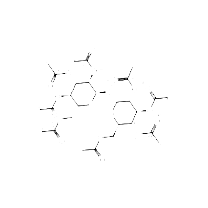 CC(=O)OC[C@H]1O[C@H](O[C@H]2O[C@H](COC(C)=O)[C@@H](OC(C)=O)[C@H](OC(C)=O)[C@H]2OC(C)=O)[C@H](OC(C)=O)[C@@H](OC(C)=O)[C@@H]1OC(C)=O